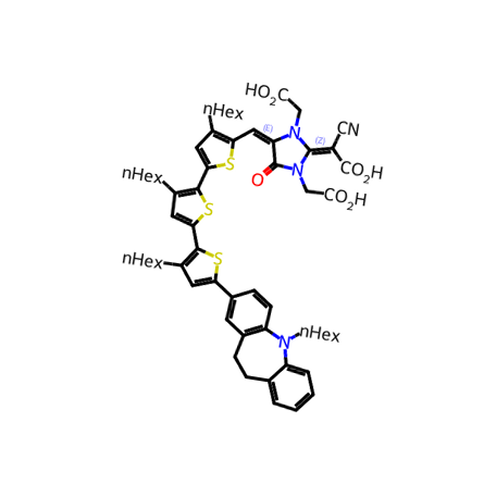 CCCCCCc1cc(-c2sc(-c3sc(-c4ccc5c(c4)CCc4ccccc4N5CCCCCC)cc3CCCCCC)cc2CCCCCC)sc1/C=c1\c(=O)n(CC(=O)O)/c(=C(/C#N)C(=O)O)n1CC(=O)O